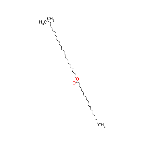 CCCCCCCCC=CCCCCCCCCCC(=O)OCCCCCCCCCCCCCCCCCCCCCCCCC(C)C